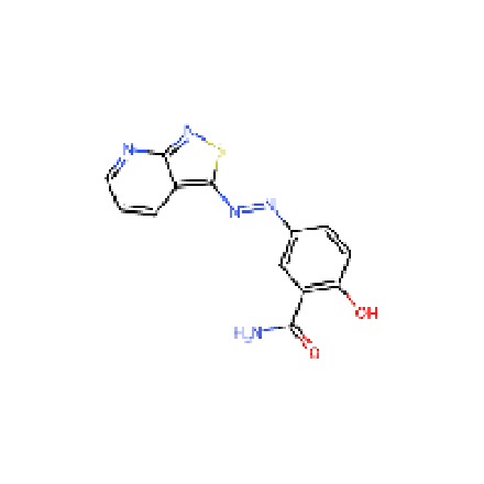 NC(=O)c1cc(/N=N/c2snc3ncccc23)ccc1O